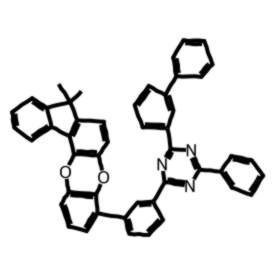 CC1(C)c2ccccc2-c2c1ccc1c2Oc2cccc(-c3cccc(-c4nc(-c5ccccc5)nc(-c5cccc(-c6ccccc6)c5)n4)c3)c2O1